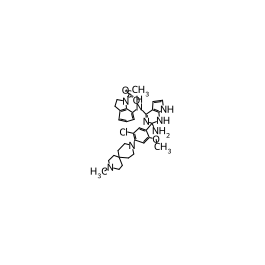 COc1cc(N2CCC3(CCN(C)CC3)CC2)c(Cl)cc1C1(N)N=C(Nc2cccc3c2N(S(C)(=O)=O)CC3)c2cc[nH]c2N1